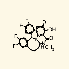 CN1C(=O)c2c(O)c(=O)ccn2N2[C@@H](c3ccc(F)c(F)c3)c3cc(F)c(F)cc3CCC[C@H]12